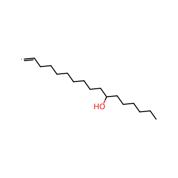 [CH]=CCCCCCCCCC(O)CCCCCC